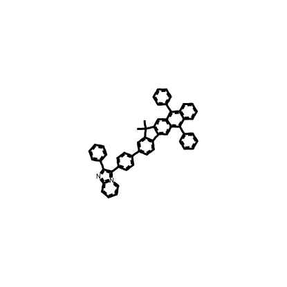 CC1(C)c2cc(-c3ccc(-c4c(-c5ccccc5)nc5ccccn45)cc3)ccc2-c2cc3c(-c4ccccc4)c4ccccc4c(-c4ccccc4)c3cc21